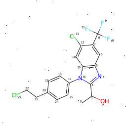 CC(O)c1nc2cc(C(F)(F)F)c(Cl)cc2n1-c1ccc(CCCl)cc1